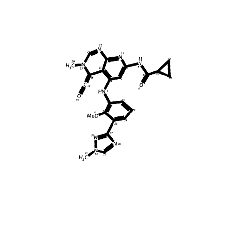 COc1c(Nc2cc(NC(=O)C3CC3)nc3c2C(=C=O)N(C)C=N3)cccc1-c1ncn(C)n1